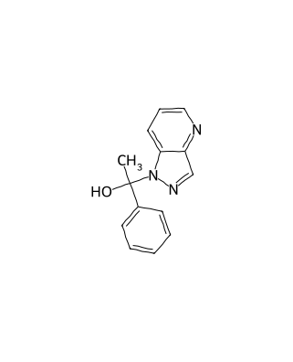 CC(O)(c1ccccc1)n1ncc2ncccc21